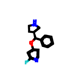 Fc1cc(OC(c2ccccc2)[C@H]2CCNC2)ccn1